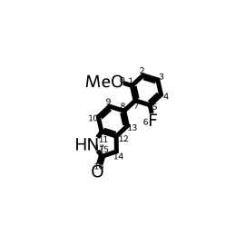 COc1cccc(F)c1-c1ccc2c(c1)CC(=O)N2